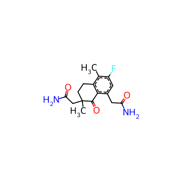 Cc1c(F)cc(CC(N)=O)c2c1CCC(C)(CC(N)=O)C2=O